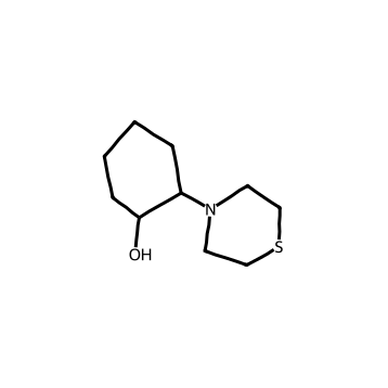 OC1CCCCC1N1CCSCC1